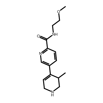 COCCNC(=O)c1ccc(C2=CCNCC2C)cn1